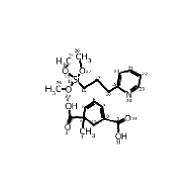 CC1(C(=O)O)C=CC=C(C(=O)O)C1.CO[Si](CCCc1ccccn1)(OC)OC